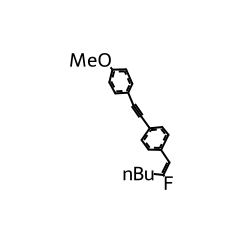 CCCC/C(F)=C\c1ccc(C#Cc2ccc(OC)cc2)cc1